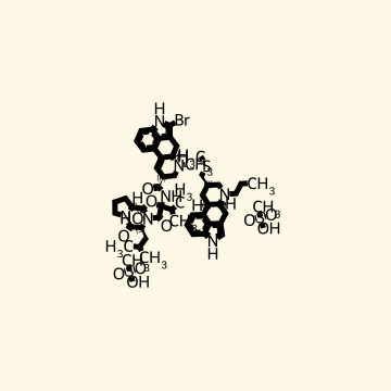 CC(C)C[C@H]1C(=O)N2CCC[C@H]2[C@]2(O)O[C@](NC(=O)[C@@H]3C=C4c5cccc6[nH]c(Br)c(c56)C[C@H]4N(C)C3)(C(C)C)C(=O)N12.CCCN1C[C@H](CSC)C[C@@H]2c3cccc4[nH]cc(c34)C[C@H]21.CS(=O)(=O)O.CS(=O)(=O)O